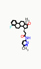 Cc1ccc(NC(=O)CC[C@@H]2CC(=O)[C@@]3(C)CCC4c5cccc(F)c5CCC4C23)nn1